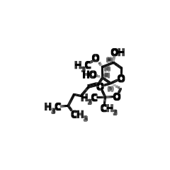 CO[C@@H]1[C@H](O)CO[C@]2(COC(C)(C)O2)[C@@]1(O)C=CCCC(C)C